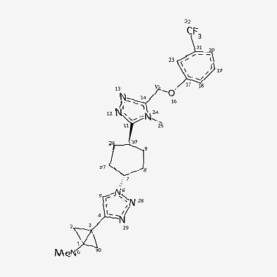 CNC12CC1(c1cn([C@H]3CC[C@H](c4nnc(COc5cccc(C(F)(F)F)c5)n4C)CC3)nn1)C2